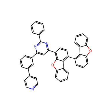 c1ccc(-c2nc(-c3cccc(-c4ccncc4)c3)cc(-c3ccc(-c4cccc5oc6ccccc6c45)c4c3oc3ccccc34)n2)cc1